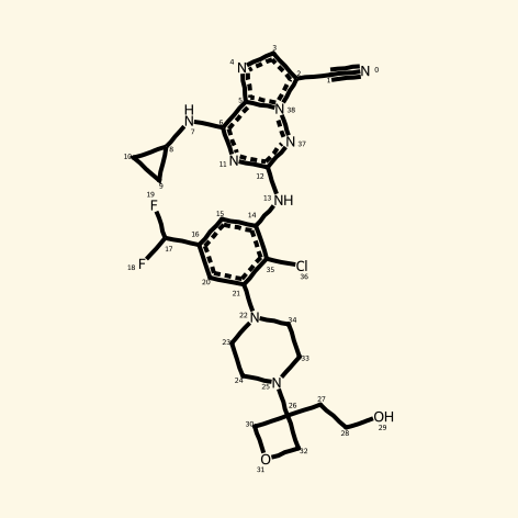 N#Cc1cnc2c(NC3CC3)nc(Nc3cc(C(F)F)cc(N4CCN(C5(CCO)COC5)CC4)c3Cl)nn12